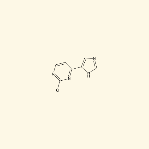 Clc1nccc(-c2cnc[nH]2)n1